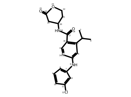 CC(C)c1cc(Nc2cccc(Cl)c2)ncc1C(=O)NC1CCOC(=O)C1